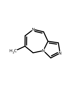 CC1=CN=Cc2cncn2C1